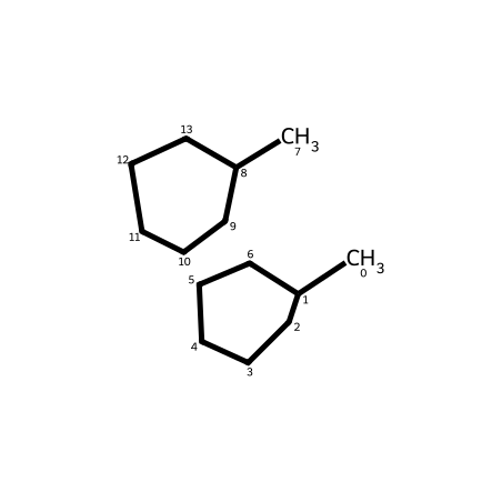 CC1CCCCC1.CC1CCCCC1